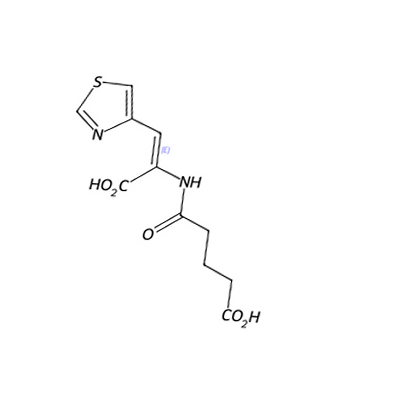 O=C(O)CCCC(=O)N/C(=C/c1cscn1)C(=O)O